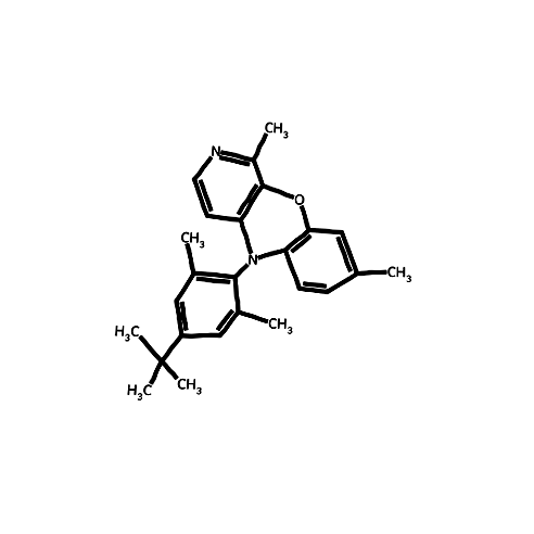 Cc1ccc2c(c1)Oc1c(ccnc1C)N2c1c(C)cc(C(C)(C)C)cc1C